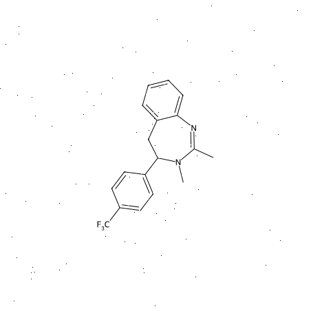 CC1=Nc2ccccc2CC(c2ccc(C(F)(F)F)cc2)N1C